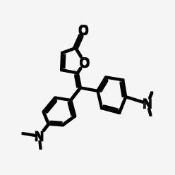 CN(C)c1ccc(C(=C2C=CC(=O)O2)c2ccc(N(C)C)cc2)cc1